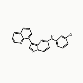 Clc1cccc(Nc2ccn3ncc(-c4cccc5cccnc45)c3n2)c1